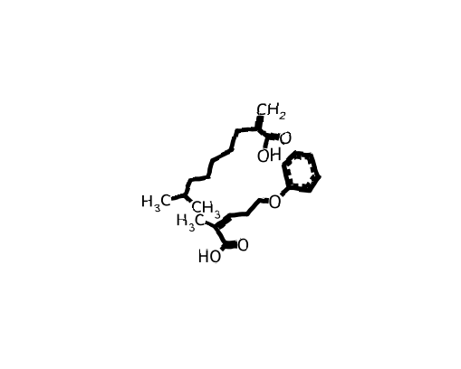 C=C(CCCCCC(C)C)C(=O)O.CC(=CCCOc1ccccc1)C(=O)O